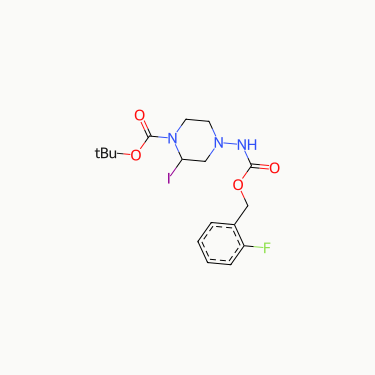 CC(C)(C)OC(=O)N1CCN(NC(=O)OCc2ccccc2F)CC1I